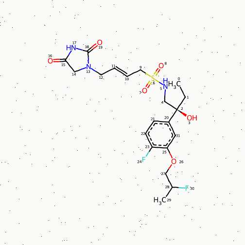 CC[C@@](O)(CNS(=O)(=O)C/C=C/CN1CC(=O)NC1=O)c1ccc(F)c(OCC(C)F)c1